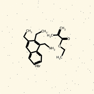 Br.C=C(C)C(=O)OCC.CCc1cc2ccccc2c(CN)c1CC